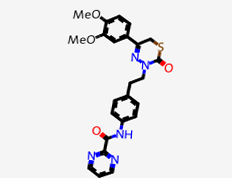 COc1ccc(C2=NN(CCc3ccc(NC(=O)c4ncccn4)cc3)C(=O)SC2)cc1OC